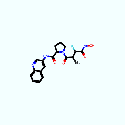 CCCCC(C(=O)N1CCCC1C(=O)Nc1cnc2ccccc2c1)C(F)C(=O)NO